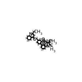 CCc1cc(OCc2ccc(-c3ccccc3)c(S(=O)(=O)Nc3onc(C)c3C)c2)c2c(n1)CCCC2